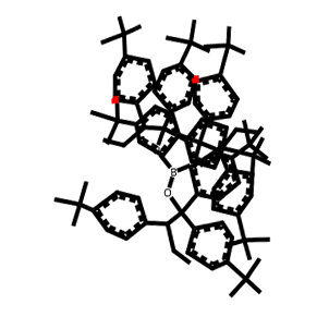 CCC(c1ccc(C(C)(C)C)cc1)C(OB(OC(c1ccc(C(C)(C)C)cc1)(c1ccc(C(C)(C)C)cc1)C(CC)c1ccc(C(C)(C)C)cc1)OC(c1ccc(C(C)(C)C)cc1)(c1ccc(C(C)(C)C)cc1)C(CC)c1ccc(C(C)(C)C)cc1)(c1ccc(C(C)(C)C)cc1)c1ccc(C(C)(C)C)cc1